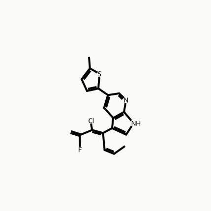 C=C(F)/C(Cl)=C(\C=C/C)c1c[nH]c2ncc(-c3ccc(C)s3)cc12